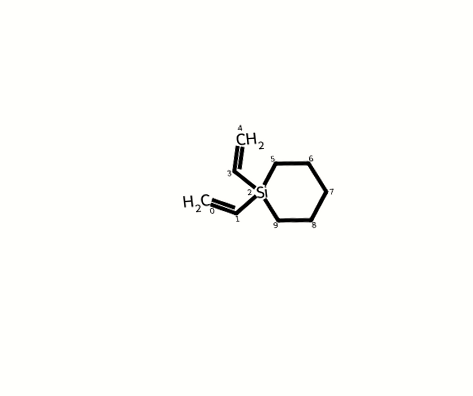 C=C[Si]1(C=C)CCCCC1